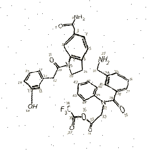 NC(=O)c1ccc2c(c1)N(C(=O)Cc1cccc(O)c1)CC2.NCc1cccc(C(=O)N(CC(=O)OC(=O)C(F)(F)F)c2ccccc2)c1